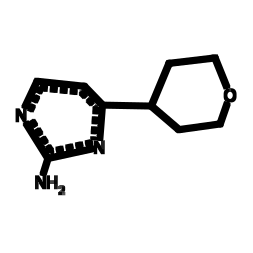 Nc1nccc(C2CCOCC2)n1